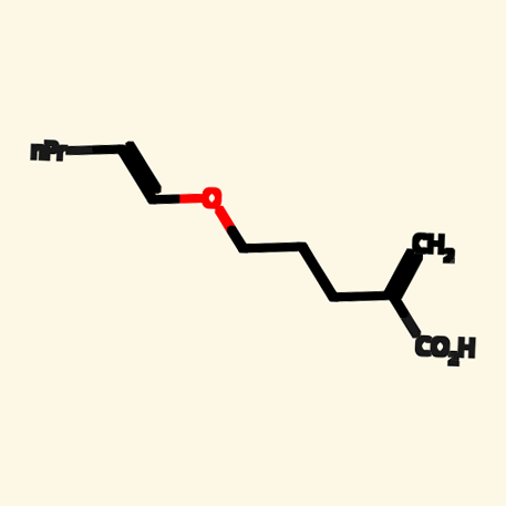 C=C(CCCOC=CCCC)C(=O)O